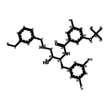 CCc1cccc(CNC[C@H](O)[C@H](Cc2cc(F)cc(F)c2)NC(=O)c2cc(C)cc(OC(C)(C)C)c2)c1